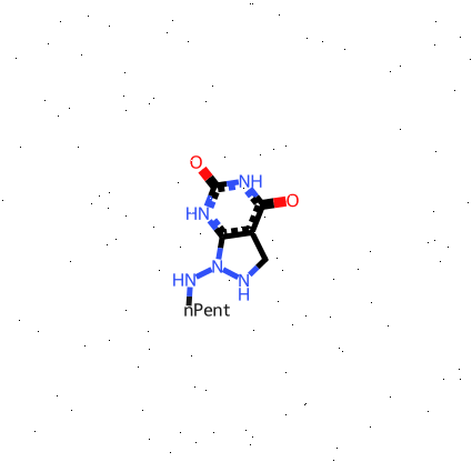 CCCCCNN1NCc2c1[nH]c(=O)[nH]c2=O